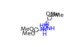 COc1ccc(/C=N/NC(=N)N/N=C/c2ccc(OC)c(OC)c2)cc1OC